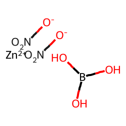 O=[N+]([O-])[O-].O=[N+]([O-])[O-].OB(O)O.[Zn+2]